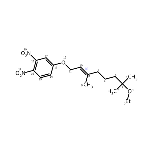 CCOC(C)(C)CCC/C(C)=C/COc1ccc([N+](=O)[O-])c([N+](=O)[O-])c1